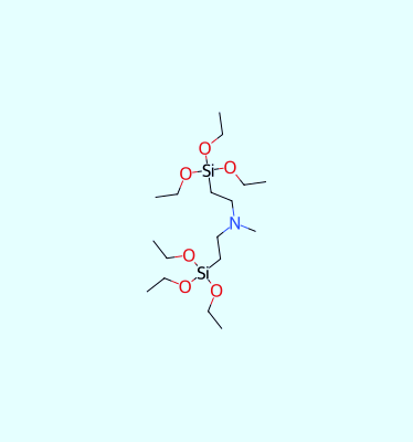 CCO[Si](CCN(C)CC[Si](OCC)(OCC)OCC)(OCC)OCC